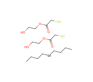 CCC[CH2][Sn][CH2]CCC.O=C(CS)OCCO.O=C(CS)OCCO